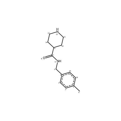 Cc1ccc(CNC(=O)C2CCNCC2)cc1